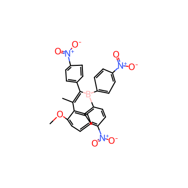 COc1ccccc1/C(C)=C(\B(c1ccc([N+](=O)[O-])cc1)c1ccc([N+](=O)[O-])cc1)c1ccc([N+](=O)[O-])cc1